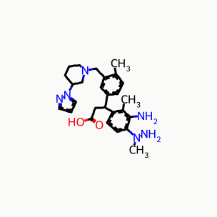 Cc1ccc(C(CC(=O)O)c2ccc(N(C)N)c(N)c2C)cc1CN1CCCC(n2cccn2)C1